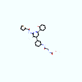 CC(C)(C)OC(=O)NCC(=O)Nc1cccc(-c2cc(-c3ccccc3O)nc(NC(=O)c3cccs3)c2C#N)c1